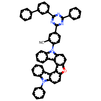 N#Cc1cc(-c2nc(-c3ccccc3)nc(-c3cccc(-c4ccccc4)c3)n2)ccc1-n1c2ccccc2c2c3c(ccc21)oc1ccc2c(c4ccccc4n2-c2ccccc2)c13